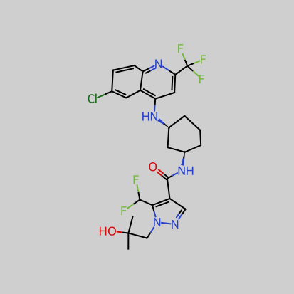 CC(C)(O)Cn1ncc(C(=O)N[C@@H]2CCC[C@H](Nc3cc(C(F)(F)F)nc4ccc(Cl)cc34)C2)c1C(F)F